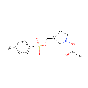 Cc1ccc(S(=O)(=O)OC[C@H]2CCN(OC(=O)C(C)(C)C)C2)cc1